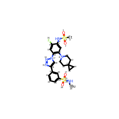 CCS(=O)(=O)Nc1cc(N2CCC3(CC2)CC3)c(-n2cc(-c3cccc(S(=O)(=O)NC(C)(C)C)c3)nn2)cc1F